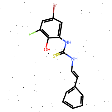 Oc1c(F)cc(Br)cc1NC(=S)NC=Cc1ccccc1